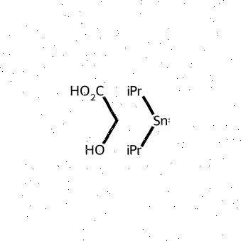 C[CH](C)[Sn][CH](C)C.O=C(O)CO